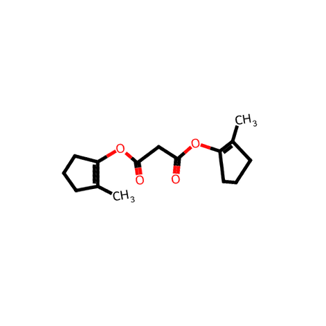 CC1=C(OC(=O)CC(=O)OC2=C(C)CCC2)CCC1